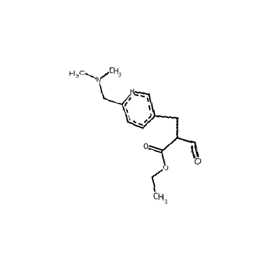 CCOC(=O)C(C=O)Cc1ccc(CN(C)C)nc1